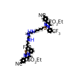 CCOC(=O)C1=C(C)N(c2cccc(C(F)(F)F)c2)C(SCCCCCCNCCN(C)CCNCCCCCCSC2=NC(c3ccc(C#N)cc3)C(C(=O)OCC)=C(C)N2c2cccc(C(F)(F)F)c2)=NC1c1ccc(C#N)cc1